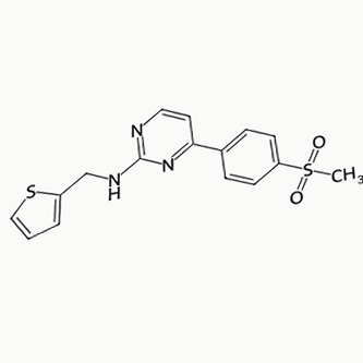 CS(=O)(=O)c1ccc(-c2ccnc(NCc3cccs3)n2)cc1